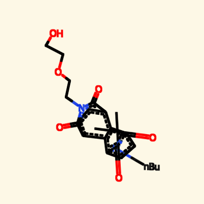 CCCCn1c(=O)c2ccc(c1=O)c1c3ccc(c(=O)n(CCOCCO)c3=O)c21